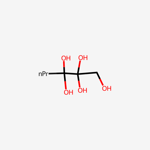 CCCC(O)(O)C(O)(O)CO